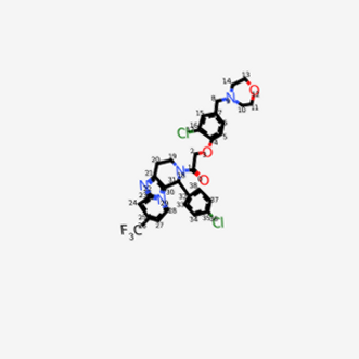 O=C(COc1ccc(CN2CCOCC2)cc1Cl)N1CCc2nc3cc(C(F)(F)F)ccn3c2C1c1ccc(Cl)cc1